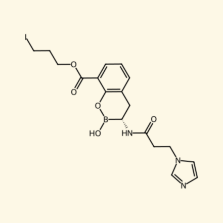 O=C(CCn1ccnc1)N[C@H]1Cc2cccc(C(=O)OCCCI)c2OB1O